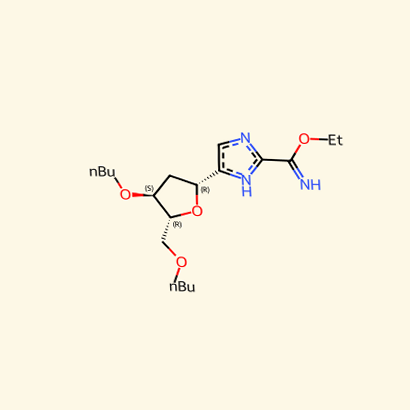 CCCCOC[C@H]1O[C@@H](c2cnc(C(=N)OCC)[nH]2)C[C@@H]1OCCCC